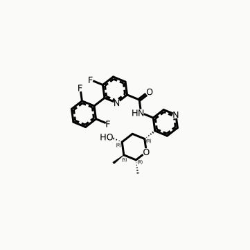 C[C@H]1[C@H](O)C[C@H](c2ccncc2NC(=O)c2ccc(F)c(-c3c(F)cccc3F)n2)O[C@@H]1C